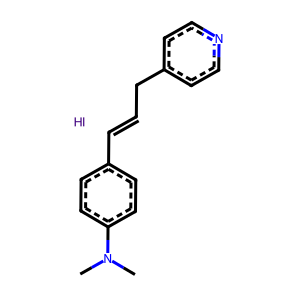 CN(C)c1ccc(C=CCc2ccncc2)cc1.I